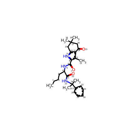 CCCCC(NC(=O)c1[nH]c2c(c1C)C(=O)CC(C)(C)C2)C(=O)NC(C)(C)c1ccccc1